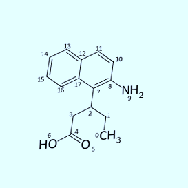 CCC(CC(=O)O)c1c(N)ccc2ccccc12